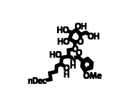 CCCCCCCCCCCCCCC(O)C(O)C(COC1OC(CO)C(O)C(O)C1O)NC(=O)c1cccc(OC)c1